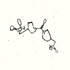 O=C(N1CCC(C[SH](=O)=O)CC1)N1CCC(C[SH](=O)=O)CC1